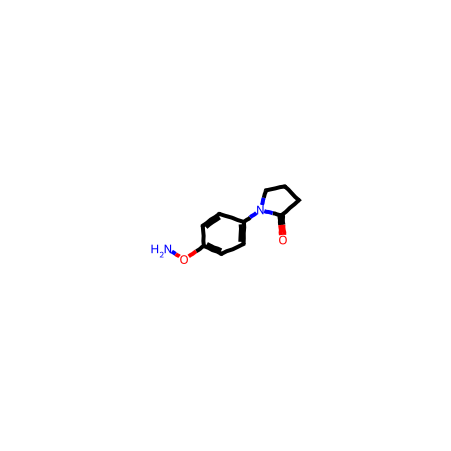 NOc1ccc(N2CCCC2=O)cc1